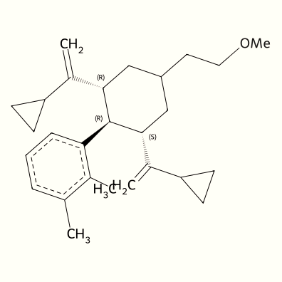 C=C(C1CC1)[C@H]1CC(CCOC)C[C@@H](C(=C)C2CC2)[C@@H]1c1cccc(C)c1C